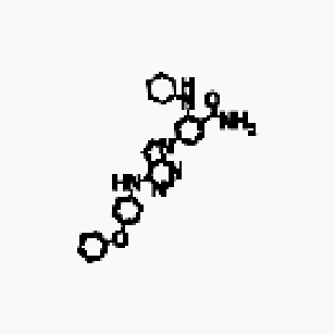 NC(=O)c1ccc(-n2ccc3c(Nc4ccc(Oc5ccccc5)cc4)ncnc32)cc1NC1CCCCC1